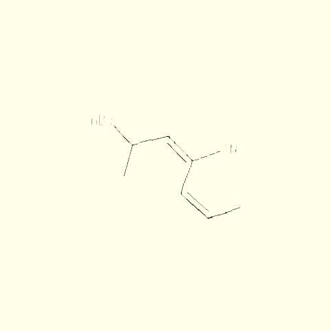 C/C=C\C(C#N)=C/C(C)CCCC